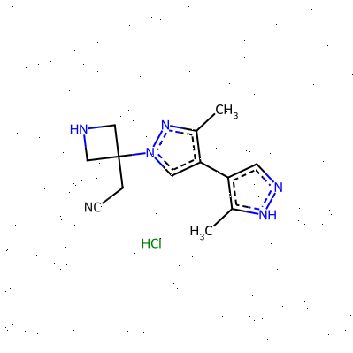 Cc1nn(C2(CC#N)CNC2)cc1-c1cn[nH]c1C.Cl